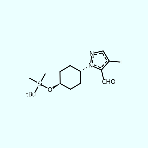 CC(C)(C)[Si](C)(C)O[C@H]1CC[C@H](n2ncc(I)c2C=O)CC1